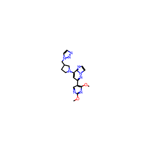 COc1ncc(-c2cc(N3CCC(Cn4ccnn4)C3)c3nccn3n2)c(OC)n1